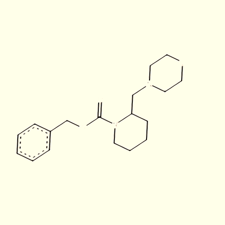 O=C(OCc1ccccc1)N1CCCCC1CN1CCOCC1